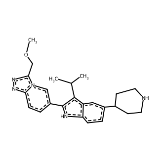 COCc1nnc2ccc(-c3[nH]c4ccc(C5CCNCC5)cc4c3C(C)C)cn12